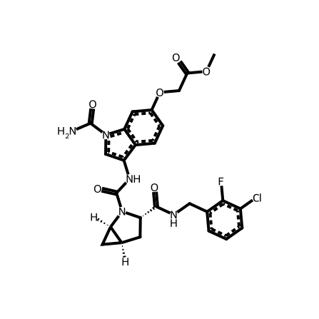 COC(=O)COc1ccc2c(NC(=O)N3[C@@H]4C[C@@H]4C[C@H]3C(=O)NCc3cccc(Cl)c3F)cn(C(N)=O)c2c1